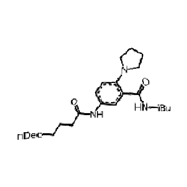 CCCCCCCCCCCCCC(=O)Nc1ccc(N2CCCC2)c(C(=O)NC(C)CC)c1